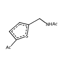 CC(=O)NCc1ccc(C(C)=O)s1